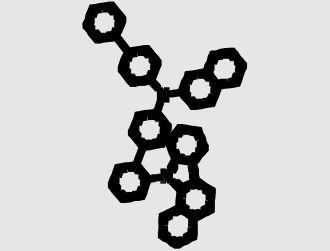 c1ccc(-c2ccc(N(c3ccc(-c4ccccc4-n4c5ccccc5c5ccc6ccccc6c54)cc3)c3ccc4ccccc4c3)cc2)cc1